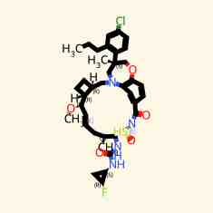 CCCc1cc(Cl)ccc1[C@]1(C)COc2ccc3cc2N(C[C@@H]2CC[C@H]2[C@@H](OC)/C=C/C[C@H](C)C(NC(=O)N[C@H]2C[C@H]2F)/[SH](=O)=N\C3=O)C1